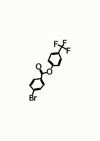 O=C(Oc1ccc(C(F)(F)F)cc1)c1ccc(Br)cc1